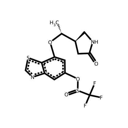 C[C@@H](Oc1cc(OS(=O)C(F)(F)F)cc2ncsc12)[C@H]1CNC(=O)C1